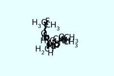 C=C1C=C(c2ccc(OCCCCC(C)(C)F)nc2)N=C(c2c(F)ccc(CNC(=O)C(C)C)c2C(C)C)N1